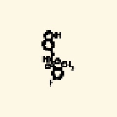 Cc1ccc(F)cc1S(=O)(=O)NCc1ccc2cc[nH]c2c1